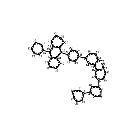 c1ccc(-c2cccc(-c3ccc4oc5ccc(-c6ccc(-c7c8ccccc8c(-c8ccccc8)c8ccccc78)cc6)cc5c4c3)c2)cc1